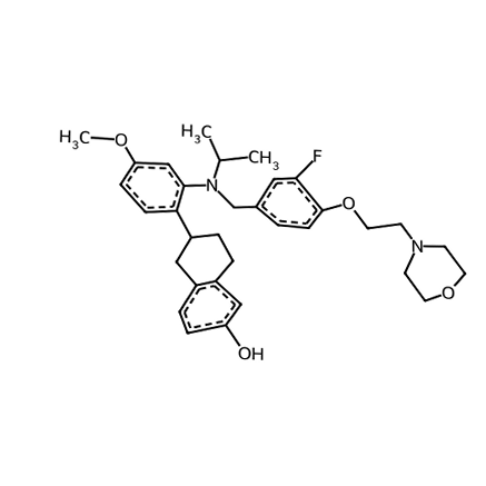 COc1ccc(C2CCc3cc(O)ccc3C2)c(N(Cc2ccc(OCCN3CCOCC3)c(F)c2)C(C)C)c1